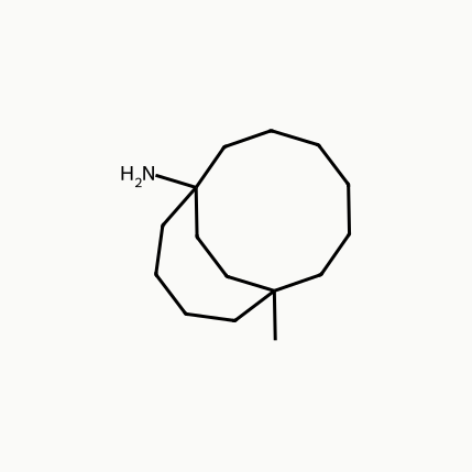 CC12CCCCCCC(N)(CCCC1)CC2